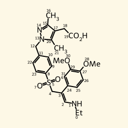 CCNC=C(CS(=O)(=O)c1ccc(Cn2nc(C)c(CC(=O)O)c2C)cc1)c1ccc(OC)c(OC)c1